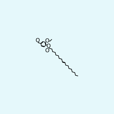 CCCCCCCCC=CCCCCCCCC(=O)Oc1ccc(C=O)cc1OCC